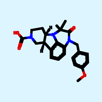 COc1ccc(CN2C(=O)C(C)(C)N3c4c(cccc42)[C@@H]2CN(C(=O)O)CC[C@@H]23)cc1